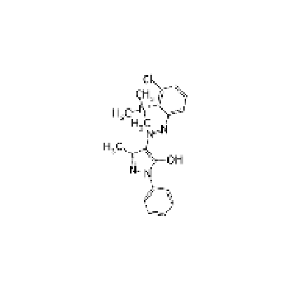 Cc1nn(-c2ccccc2)c(O)c1N=Nc1cccc(Cl)c1[N+](C)(C)C